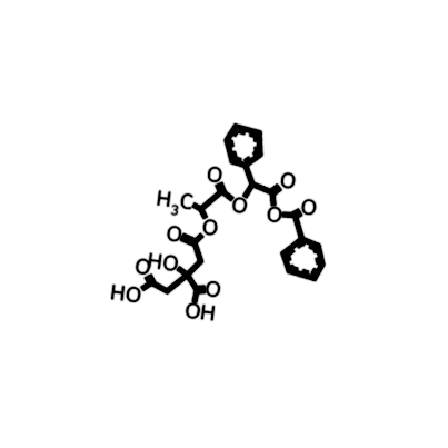 CC(OC(=O)CC(O)(CC(=O)O)C(=O)O)C(=O)OC(C(=O)OC(=O)c1ccccc1)c1ccccc1